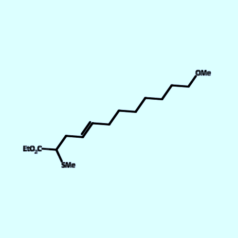 CCOC(=O)C(CC=CCCCCCCCOC)SC